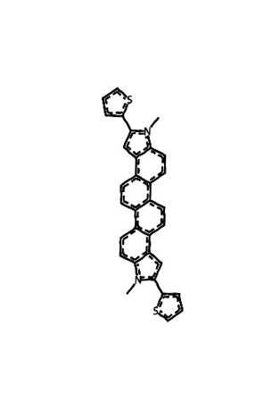 Cn1c(-c2cccs2)cc2c3ccc4c(ccc5c4ccc4c5cc(-c5cccs5)n4C)c3ccc21